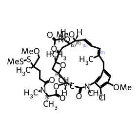 COCC(C)(CCC(=O)N(C)[C@@H](C)C(=O)O[C@H]1CC(=O)N(C)c2cc(cc(OC)c2Cl)C/C(C)=C/C=C/[C@@H](OC)[C@@]2(O)C[C@H](OC(=O)N2)C2(C)C[C@@]1(C)O2)SSC